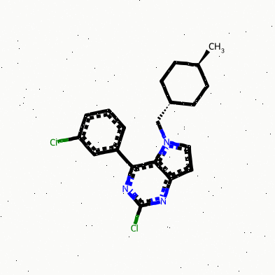 C[C@H]1CC[C@H](Cn2ccc3nc(Cl)nc(-c4cccc(Cl)c4)c32)CC1